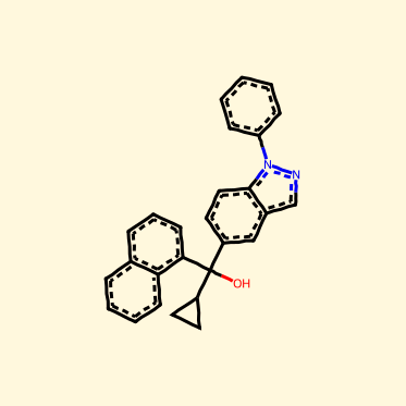 OC(c1ccc2c(cnn2-c2ccccc2)c1)(c1cccc2ccccc12)C1CC1